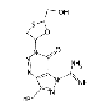 CCCc1nn(C(=N)N)c2c(=O)n(C3CSC(CO)O3)nnc12